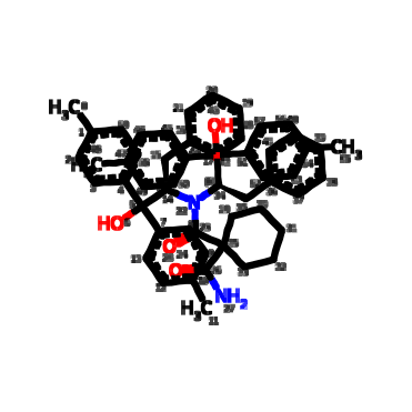 Cc1ccc(C(O)(c2ccc(C)cc2)[C@@H](Cc2ccccc2)N(C(=O)C2(C(N)=O)CCCCC2)[C@H](Cc2ccccc2)C(O)(c2ccc(C)cc2)c2ccc(C)cc2)cc1